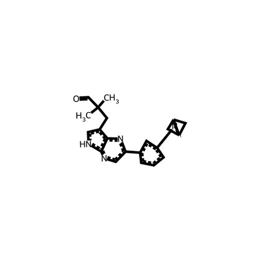 CC(C)(C=O)Cc1c[nH]c2ncc(-c3cccc(N4CC5CC4C5)c3)nc12